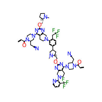 C=CC(=O)N1CCN(c2nc(OC[C@@H]3CCCN3C)nc3c2CCN(c2cc(C4C[C@@H](COc5nc6c(c(N7CCN(C(=O)C=C)C(CC#N)C7)n5)CCN(c5ncccc5C(F)(F)F)C6)N(C)C4)ccc2CC(F)(F)F)C3)CC1CC#N